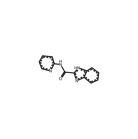 O=C(Nc1ccccn1)c1nc2ccccc2[nH]1